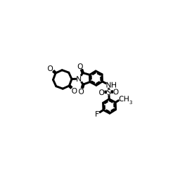 Cc1ccc(F)cc1S(=O)(=O)Nc1ccc2c(c1)C(=O)N(C1CCC(=O)CCCC1=O)C2=O